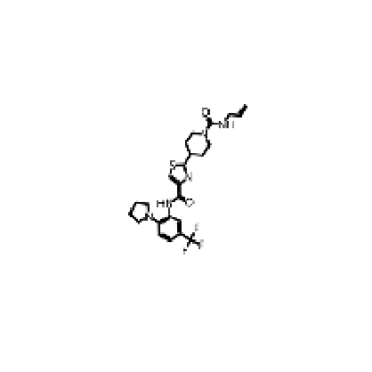 C=CCNC(=O)N1CCC(c2nc(C(=O)Nc3cc(C(F)(F)F)ccc3N3CCCC3)cs2)CC1